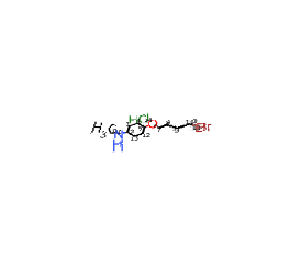 CNC1CCC(OCCCCBr)CC1.Cl